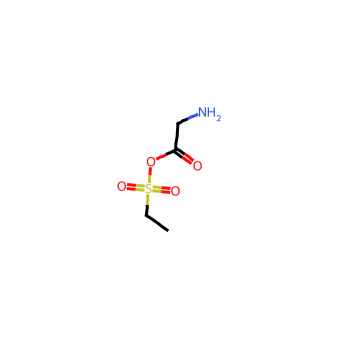 CCS(=O)(=O)OC(=O)CN